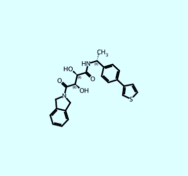 C[C@@H](NC(=O)[C@H](O)[C@@H](O)C(=O)N1Cc2ccccc2C1)c1ccc(-c2ccsc2)cc1